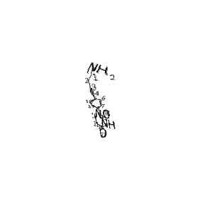 NCCC#Cc1ccc(N2CCC(=O)NC2=O)cc1